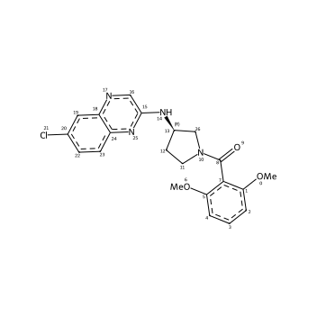 COc1cccc(OC)c1C(=O)N1CC[C@@H](Nc2cnc3cc(Cl)ccc3n2)C1